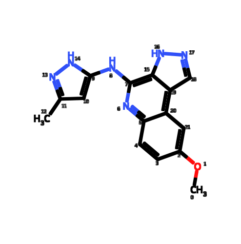 COc1ccc2nc(Nc3cc(C)n[nH]3)c3[nH]ncc3c2c1